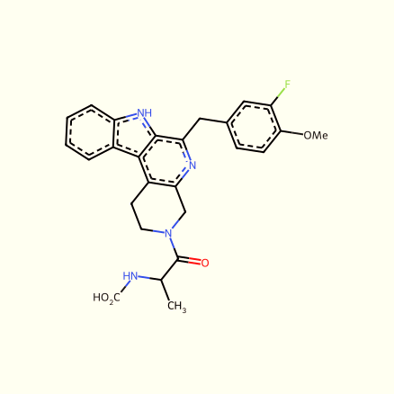 COc1ccc(Cc2nc3c(c4c2[nH]c2ccccc24)CCN(C(=O)C(C)NC(=O)O)C3)cc1F